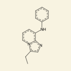 CCc1cnc2c(Nc3ccccc3)cccn12